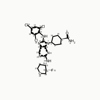 NC(=O)[C@H]1CC[C@@H](n2c(Nc3c(Cl)cc(Cl)cc3Cl)nc3cnc(N[C@H]4CCOC[C@H]4F)nc32)CC1